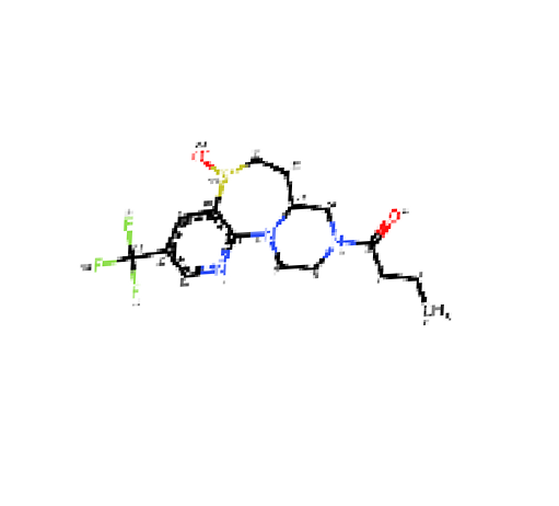 CCCC(=O)N1CCN2c3ncc(C(F)(F)F)cc3[S+]([O-])CCC2C1